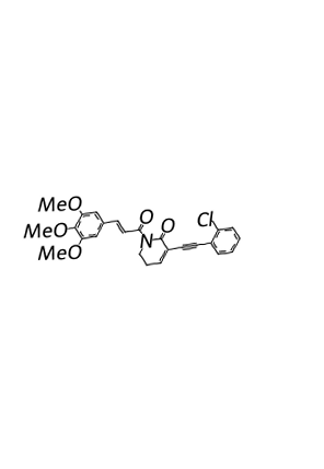 COc1cc(/C=C/C(=O)N2CCC=C(C#Cc3ccccc3Cl)C2=O)cc(OC)c1OC